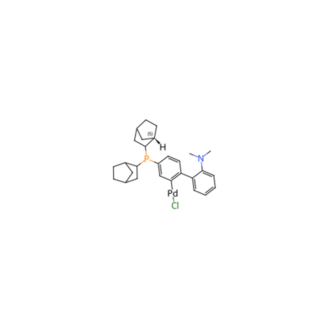 CN(C)c1ccccc1-c1ccc(P(C2CC3CCC2C3)C2CC3CC[C@H]2C3)c[c]1[Pd][Cl]